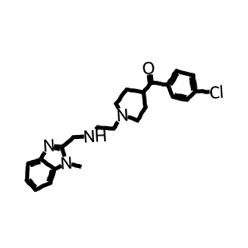 Cn1c(CNCCN2CCC(C(=O)c3ccc(Cl)cc3)CC2)nc2ccccc21